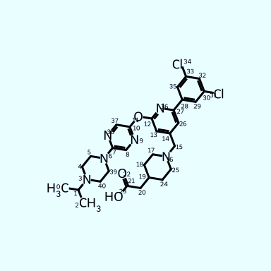 CC(C)N1CCN(c2cnc(Oc3cc(CN4CCC(CC(=O)O)CC4)cc(-c4cc(Cl)cc(Cl)c4)n3)cn2)CC1